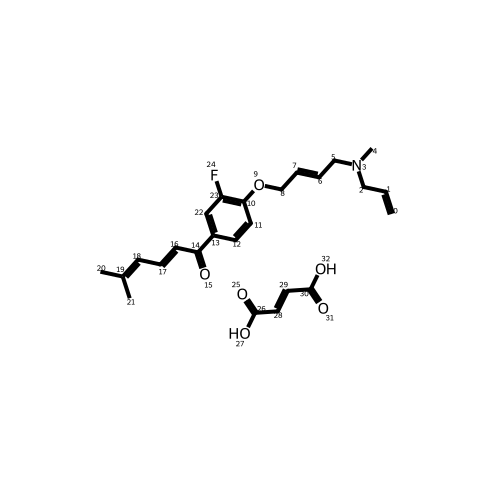 C=CCN(C)CC=CCOc1ccc(C(=O)C=CC=C(C)C)cc1F.O=C(O)C=CC(=O)O